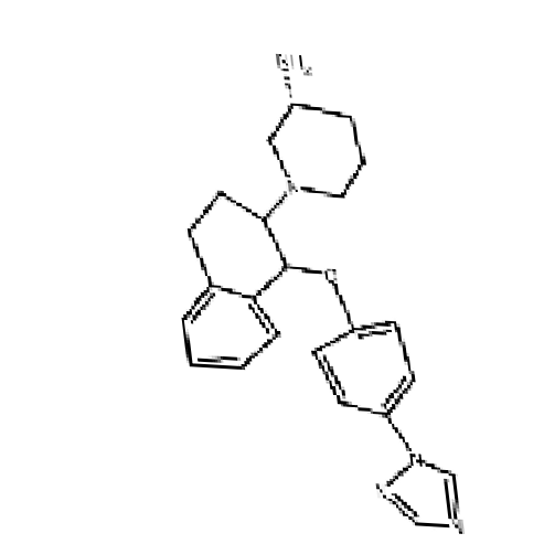 N[C@@H]1CCCN(C2CCc3ccccc3C2Oc2ccc(-n3cncn3)cc2)C1